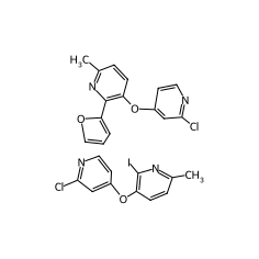 Cc1ccc(Oc2ccnc(Cl)c2)c(-c2ccco2)n1.Cc1ccc(Oc2ccnc(Cl)c2)c(I)n1